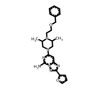 CC1CN(c2cc3nc(-c4ccco4)nn3c(N)n2)CC(C)N1CCOCc1ccccc1